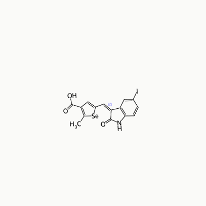 Cc1[se]c(/C=C2\C(=O)Nc3ccc(I)cc32)cc1C(=O)O